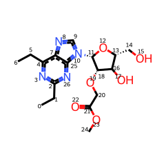 CCc1nc(CC)c2ncn([C@@H]3O[C@H](CO)C(O)[C@@H]3OCC(=O)OC)c2n1